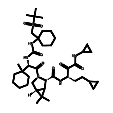 CC1([C@H](NC(=O)NC2(CS(=O)(=O)C(C)(C)C)CCCCC2)C(=O)N2C[C@H]3C([C@H]2C(=O)N[C@@H](CCC2CC2)C(=O)C(=O)NC2CC2)C3(C)C)CCCCC1